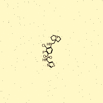 O=S(=O)(Nc1cscn1)c1ccc(NCC23CCCN2CCC3)c(Cl)c1F